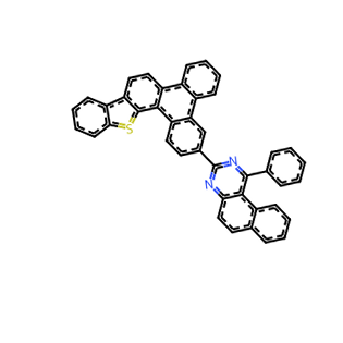 c1ccc(-c2nc(-c3ccc4c(c3)c3ccccc3c3ccc5c6ccccc6sc5c34)nc3ccc4ccccc4c23)cc1